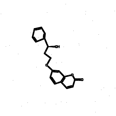 O=c1ccc2ccc(OCC[C@H](O)c3ccccc3)cc2o1